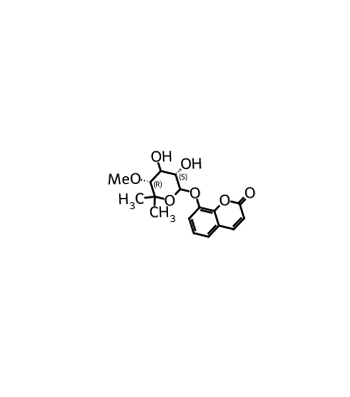 CO[C@@H]1C(O)[C@H](O)C(Oc2cccc3ccc(=O)oc23)OC1(C)C